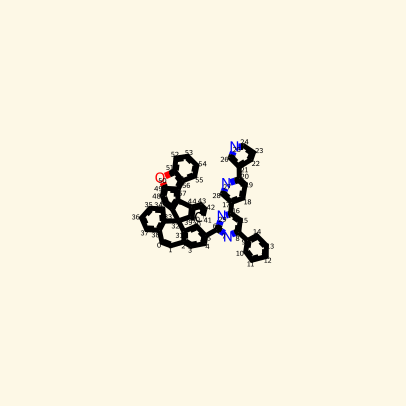 C1=Cc2ccc(-c3nc(-c4ccccc4)cc(-c4ccc(-c5cccnc5)nc4)n3)cc2C2(c3ccccc31)c1ccccc1-c1c2ccc2oc3ccccc3c12